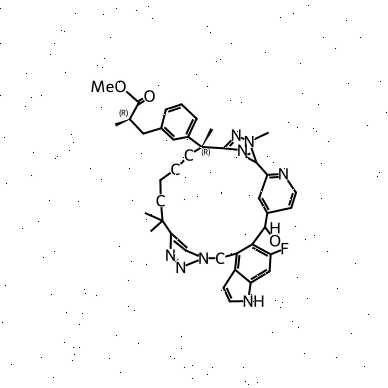 COC(=O)[C@H](C)Cc1cccc([C@@]2(C)CCCCC(C)(C)c3cn(nn3)Cc3c(c(F)cc4[nH]ccc34)C(O)c3ccnc(c3)-c3nc2nn3C)c1